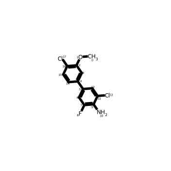 COc1cc(-c2cc(F)c(N)c(Cl)c2)ccc1Cl